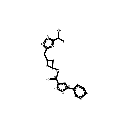 CC(O)c1nnc(CC2CC(NC(=O)c3cc(-c4ccccc4)no3)C2)o1